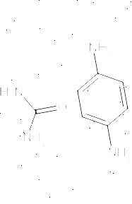 NC(N)=O.Nc1ccc(N)cc1